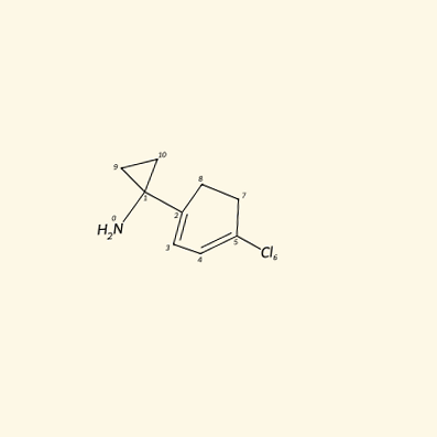 NC1(C2=CC=C(Cl)CC2)CC1